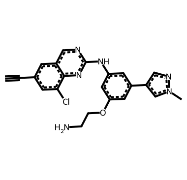 C#Cc1cc(Cl)c2nc(Nc3cc(OCCN)cc(-c4cnn(C)c4)c3)ncc2c1